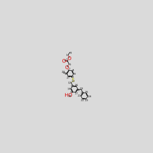 CCOC(=O)COc1ccc(SCc2cc(O)cc(Cc3ccccc3)c2)cc1C